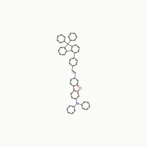 C(=C\c1ccc2c(c1)oc1cc(N(c3ccccc3)c3ccccc3)ccc12)/c1ccc(-c2cccc3c2-c2ccccc2C3(c2ccccc2)c2ccccc2)cc1